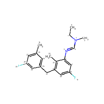 CCN(C)C=Nc1cc(F)cc(Cc2cc(C)cc(F)c2)c1C